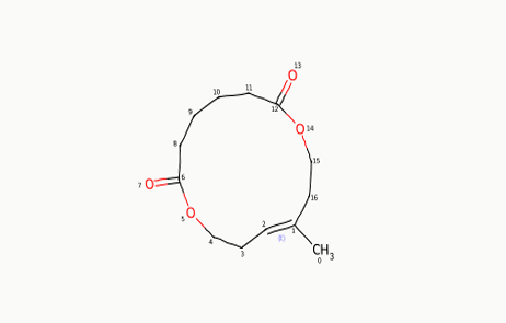 C/C1=C\CCOC(=O)CCCCC(=O)OCC1